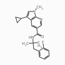 Cn1cc(C2CC2)c2cc(C(=O)NC(C)(C)Cc3ccccc3F)cnc21